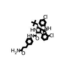 CC(C)(C)C[C@@H]1N[C@@H](C(=O)Nc2ccc(CCC(N)=O)cc2)[C@H](c2cccc(Cl)c2F)[C@]12C(=O)Nc1cc(Cl)ccc12